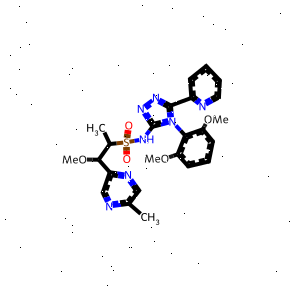 COc1cccc(OC)c1-n1c(NS(=O)(=O)C(C)C(OC)c2cnc(C)cn2)nnc1-c1ccccn1